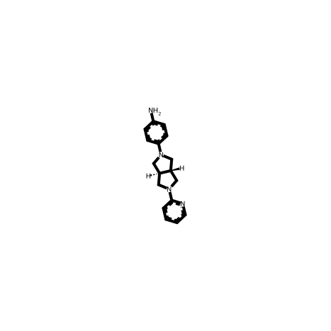 Nc1ccc(N2C[C@@H]3CN(c4ccccn4)C[C@H]3C2)cc1